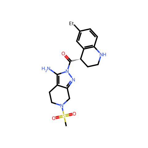 CCc1ccc2c(c1)[C@@H](C(=O)n1nc3c(c1N)CCN(S(C)(=O)=O)C3)CCN2